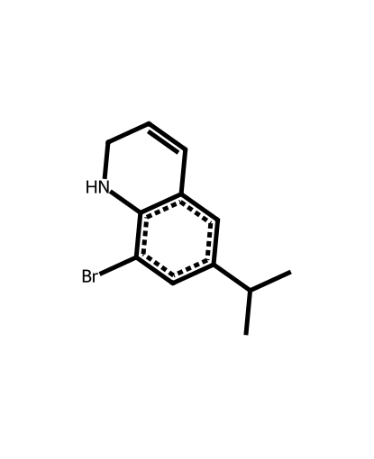 CC(C)c1cc(Br)c2c(c1)C=CCN2